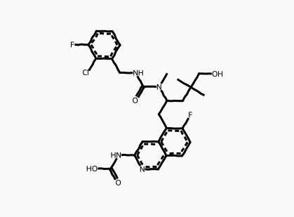 CN(C(=O)NCc1cccc(F)c1Cl)C(Cc1c(F)ccc2cnc(NC(=O)O)cc12)CC(C)(C)CO